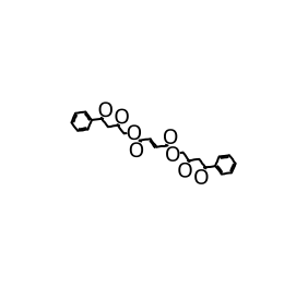 O=C(COC(=O)/C=C/C(=O)OCC(=O)CC(=O)c1ccccc1)CC(=O)c1ccccc1